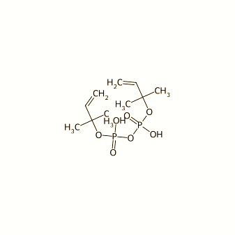 C=CC(C)(C)OP(=O)(O)OP(=O)(O)OC(C)(C)C=C